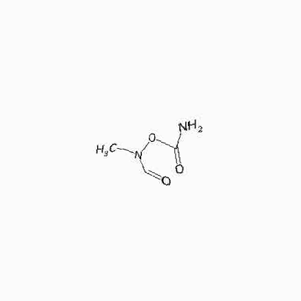 CN(C=O)OC(N)=O